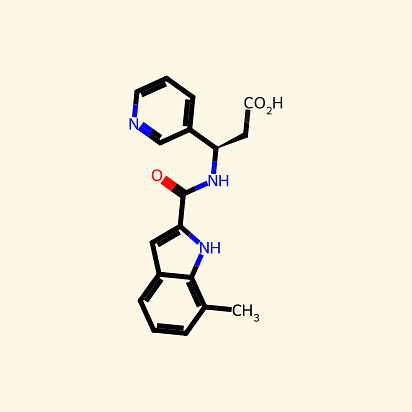 Cc1cccc2cc(C(=O)N[C@H](CC(=O)O)c3cccnc3)[nH]c12